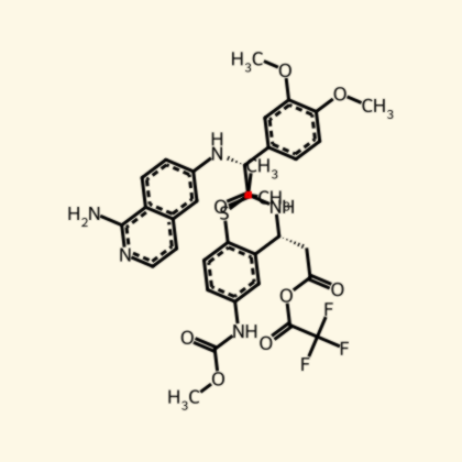 COC(=O)Nc1ccc(SC(C)C)c([C@@H](CC(=O)OC(=O)C(F)(F)F)NC(=O)[C@H](Nc2ccc3c(N)nccc3c2)c2ccc(OC)c(OC)c2)c1